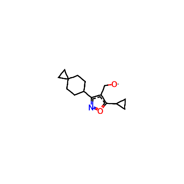 [O]Cc1c(C2CCC3(CC2)CC3)noc1C1CC1